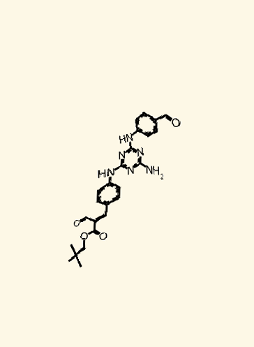 CC(C)(C)COC(=O)/C(C=O)=C/c1ccc(Nc2nc(N)nc(Nc3ccc(C=O)cc3)n2)cc1